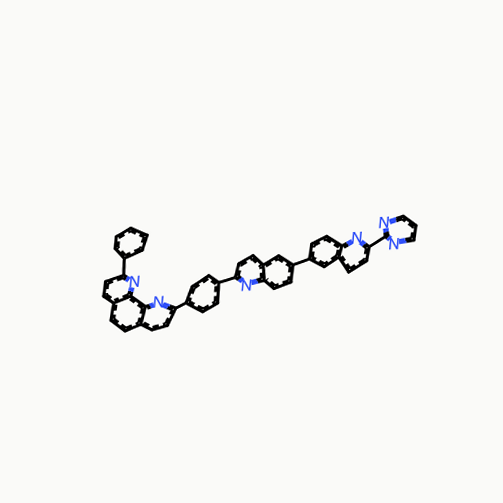 c1ccc(-c2ccc3ccc4ccc(-c5ccc(-c6ccc7cc(-c8ccc9nc(-c%10ncccn%10)ccc9c8)ccc7n6)cc5)nc4c3n2)cc1